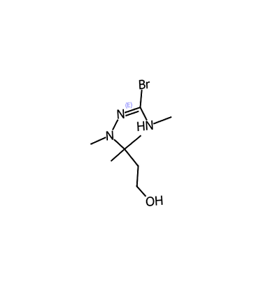 CN/C(Br)=N\N(C)C(C)(C)CCO